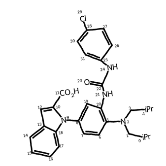 CC(C)CN(CC(C)C)c1ccc(-n2c(C(=O)O)cc3ccccc32)cc1NC(=O)Nc1ccc(Cl)cc1